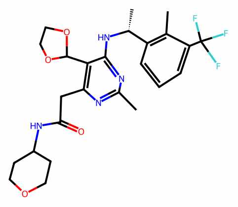 Cc1nc(CC(=O)NC2CCOCC2)c(C2OCCO2)c(N[C@H](C)c2cccc(C(F)(F)F)c2C)n1